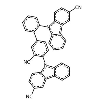 N#Cc1ccc2c(c1)c1ccccc1n2-c1ccc(-c2ccccc2-n2c3ccccc3c3cc(C#N)ccc32)cc1C#N